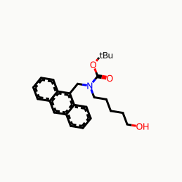 CC(C)(C)OC(=O)N(CCCCCO)Cc1c2ccccc2cc2ccccc12